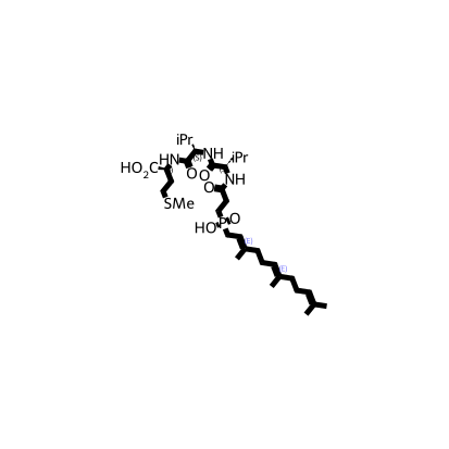 CSCC[C@H](NC(=O)[C@@H](NC(=O)[C@@H](NC(=O)CCP(=O)(O)C/C=C(\C)CC/C=C(\C)CCC=C(C)C)C(C)C)C(C)C)C(=O)O